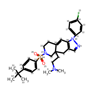 CN(C)CCC12Cc3cnn(-c4ccc(F)cc4)c3C=C1CCN(S(=O)(=O)c1ccc(C(C)(C)C)cc1)C2